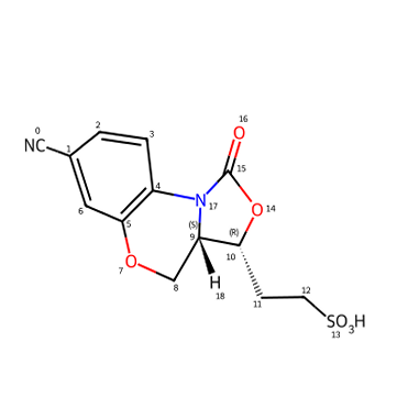 N#Cc1ccc2c(c1)OC[C@H]1[C@@H](CCS(=O)(=O)O)OC(=O)N21